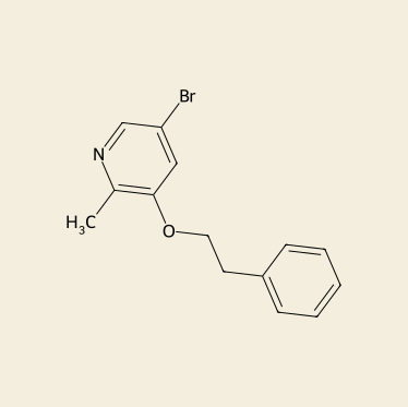 Cc1ncc(Br)cc1OCCc1ccccc1